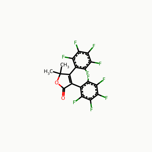 CC1(C)OC(=O)C(c2c(F)c(F)c(F)c(F)c2F)=C1c1c(F)c(F)c(F)c(F)c1F